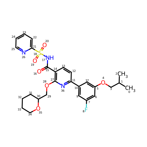 CC(C)COc1cc(F)cc(-c2ccc(C(=O)NS(=O)(=O)c3ccccn3)c(OCC3CCCCO3)n2)c1